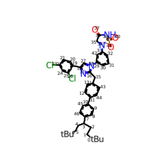 CC(C)(C)CCC(CCC(C)(C)C)c1ccc(-c2ccc(Cc3nc(-c4ccc(Cl)cc4Cl)cn3-c3cccc(N4CC(=O)NS4(=O)=O)c3)cc2)cc1